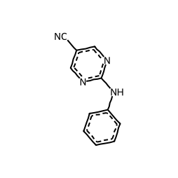 N#Cc1cnc(Nc2ccccc2)nc1